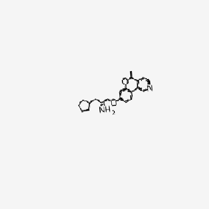 CC1Oc2cc(OC[C@@H](N)CC3CCCC3)ccc2-c2cnccc21